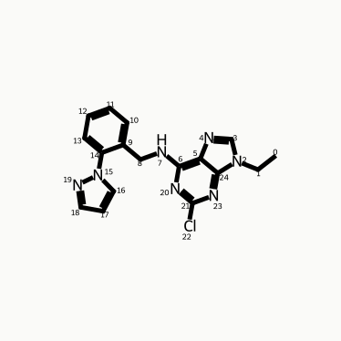 CCn1cnc2c(NCc3ccccc3-n3cccn3)nc(Cl)nc21